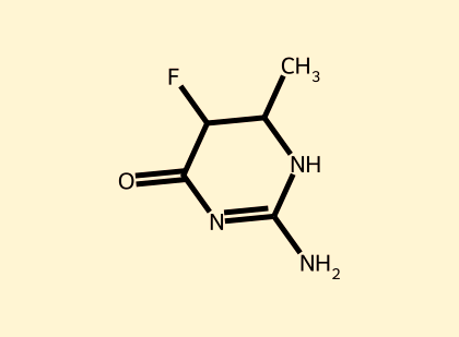 CC1NC(N)=NC(=O)C1F